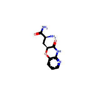 NC(=O)[C@@H](N)C[C@@H]1Oc2cccnc2NC1=O